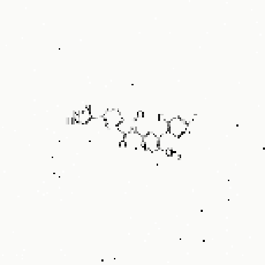 Cc1cnc(N2C(=O)c3ccc(-c4c[nH]nn4)cc3C2=O)cc1-c1ccc(F)cc1F